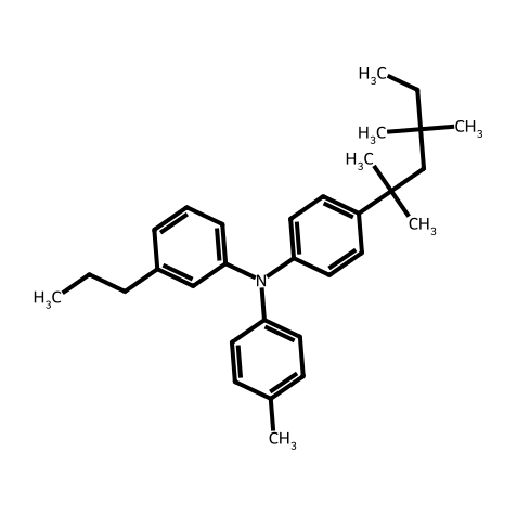 CCCc1cccc(N(c2ccc(C)cc2)c2ccc(C(C)(C)CC(C)(C)CC)cc2)c1